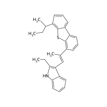 CCc1[nH]c2ccccc2c1/C=C(\C)c1cccc2c1sc1c(C(C)CC)cccc12